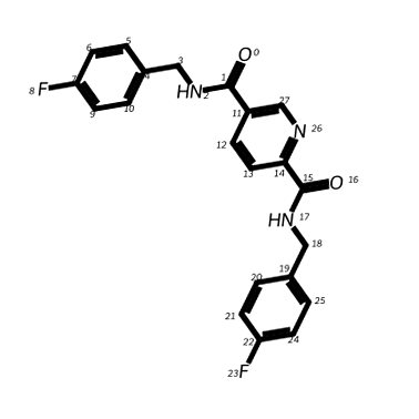 O=C(NCc1ccc(F)cc1)c1ccc(C(=O)NCc2ccc(F)cc2)nc1